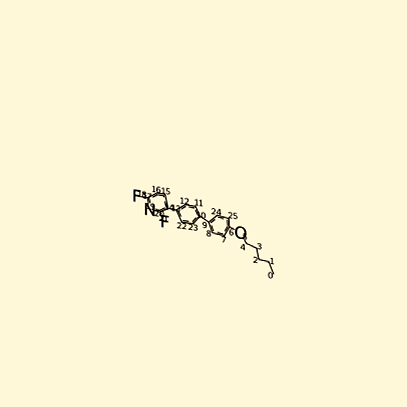 CCCCCOc1ccc(-c2ccc(-c3ccc(F)nc3F)cc2)cc1